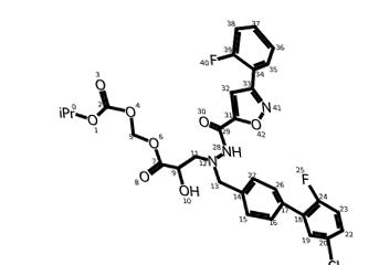 CC(C)OC(=O)OCOC(=O)C(O)CN(Cc1ccc(-c2cc(Cl)ccc2F)cc1)NC(=O)c1cc(-c2ccccc2F)no1